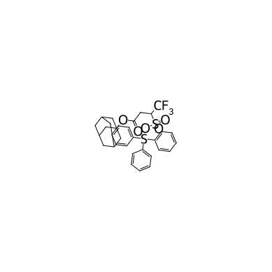 O=C(CC(C(F)(F)F)S(=O)(=O)OS(c1ccccc1)(c1ccccc1)c1ccccc1)OC12CC3CC(CC(C3)C1)C2